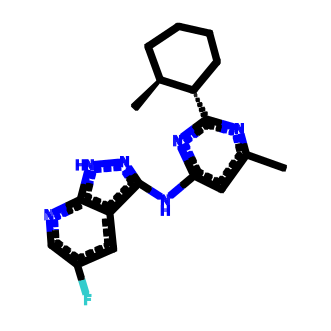 Cc1cc(Nc2n[nH]c3ncc(F)cc23)nc([C@H]2CCCC[C@@H]2C)n1